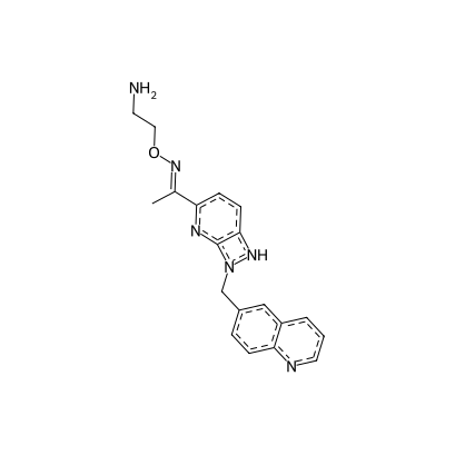 C/C(=N\OCCN)c1ccc2[nH]n(Cc3ccc4ncccc4c3)c2n1